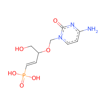 Nc1ccn(COC(C=CP(=O)(O)O)CO)c(=O)n1